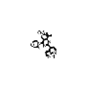 CC(C)c1nc(-c2ccnc3[nH]ccc23)nc(N2CCOC[C@H]2C)c1CS(C)(=N)=O